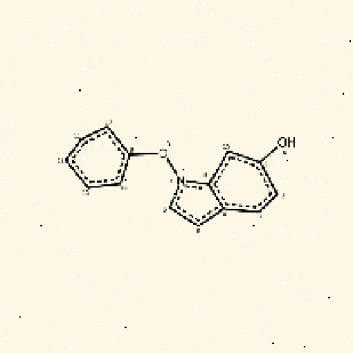 Oc1ccc2ccn(Oc3ccccc3)c2c1